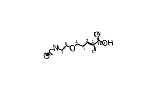 C/C(=C\CCOCCN=C=O)C(=O)O